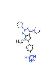 Cn1c(-c2ccc(-c3nnn[nH]3)cc2)cc2c(N3CCCC3)nc(N3CCCC3)nc21